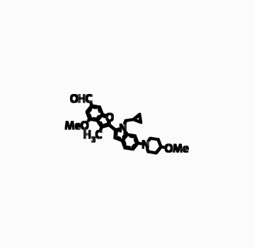 COc1cc(C=O)cc2oc(-c3cc4ccc(N5CCC(OC)CC5)cc4n3CC3CC3)c(C)c12